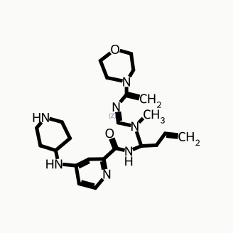 C=CCC(NC(=O)c1cc(NC2CCNCC2)ccn1)N(C)/C=N\C(=C)N1CCOCC1